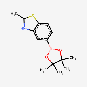 CC1Nc2cc(B3OC(C)(C)C(C)(C)O3)ccc2S1